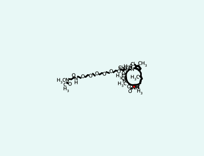 CC(=O)N(C)CCC(=O)NCCOCCOCCOCCOCCOCCO[C@@H](C)C(=O)O[C@H]1CC(=O)N(C)c2cc(cc(C)c2Cl)C/C(C)=C/C=C/[C@@H](C)[C@@]2(O)CC(OC(=O)N2)[C@@H](C)[C@@H]2O[C@@]12C